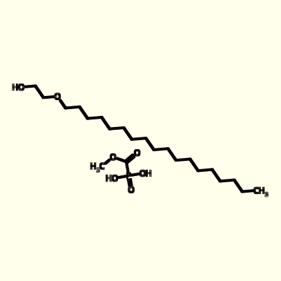 CCCCCCCCCCCCCCCCCCOCCO.COC(=O)P(=O)(O)O